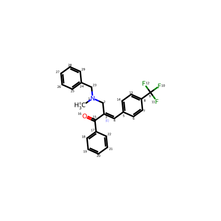 CN(C/C(=C\c1ccc(C(F)(F)F)cc1)C(=O)c1ccccc1)Cc1ccccc1